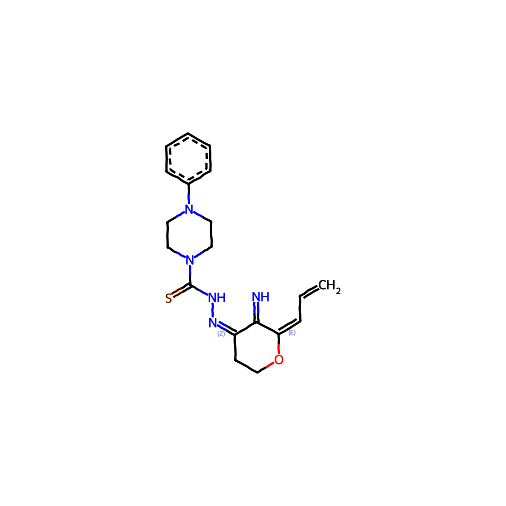 C=C/C=C1/OCC/C(=N/NC(=S)N2CCN(c3ccccc3)CC2)C1=N